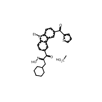 CC(=O)O.CCn1c2ccc(C(=O)C(CC3CCCCC3)=NO)cc2c2cc(C(=O)c3cccs3)ccc21